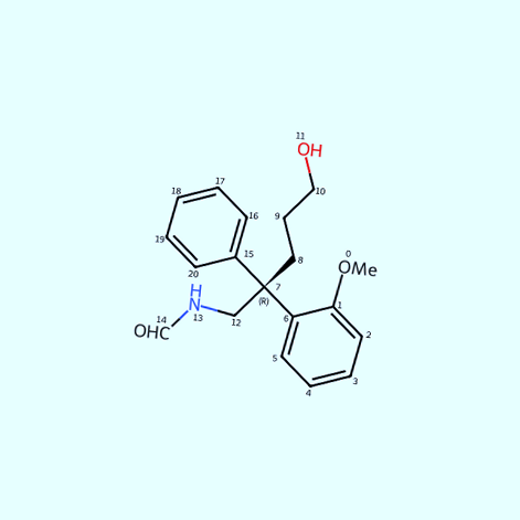 COc1ccccc1[C@](CCCO)(CNC=O)c1ccccc1